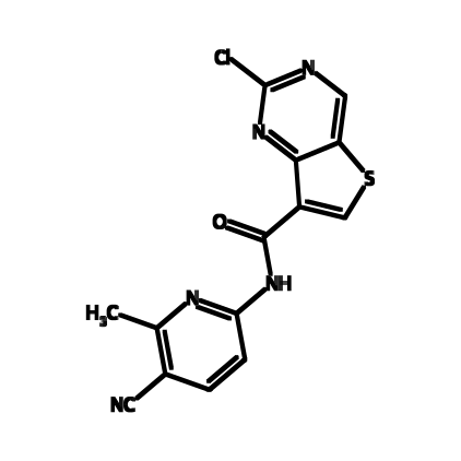 Cc1nc(NC(=O)c2csc3cnc(Cl)nc23)ccc1C#N